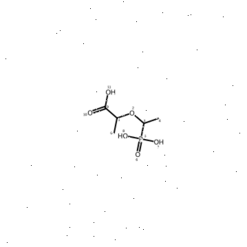 CC(OC(C)P(=O)(O)O)C(=O)O